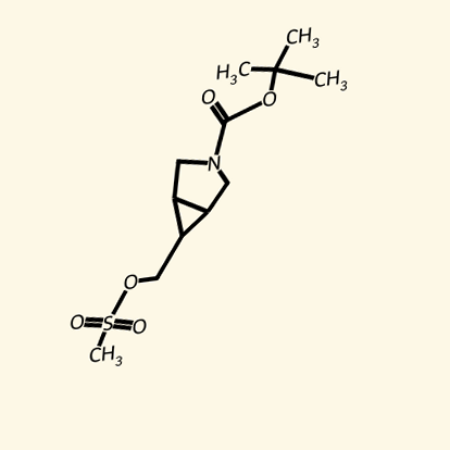 CC(C)(C)OC(=O)N1CC2C(COS(C)(=O)=O)C2C1